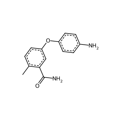 Cc1ccc(Oc2ccc(N)cc2)cc1C(N)=O